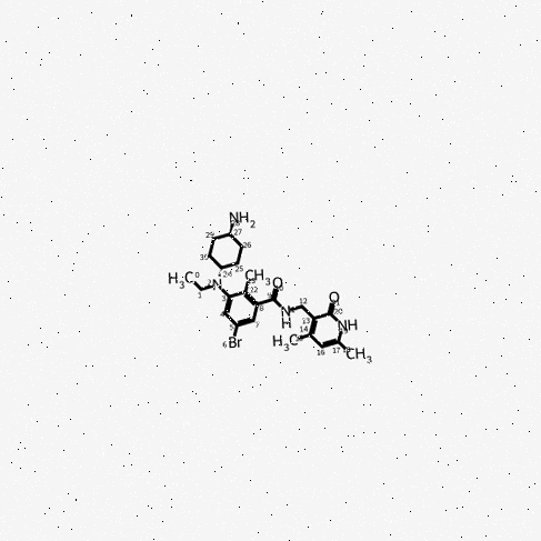 CCN(c1cc(Br)cc(C(=O)NCc2c(C)cc(C)[nH]c2=O)c1C)[C@H]1CC[C@H](N)CC1